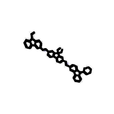 CCn1c2ccccc2c2cc(/C=C/c3ccc4c(c3)C(CC)(CC)c3cc(/C=C/c5ccc6c(c5)c5ccccc5n6C5=CCCCC5)ccc3-4)ccc21